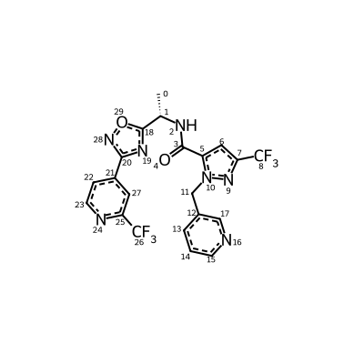 C[C@H](NC(=O)c1cc(C(F)(F)F)nn1Cc1cccnc1)c1nc(-c2ccnc(C(F)(F)F)c2)no1